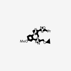 COc1ccc2c(c1)-c1nnc(COC3CC3)n1Cc1c(-c3noc(C(C)C)n3)ncn1-2